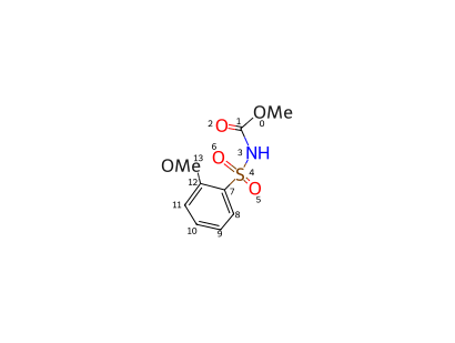 COC(=O)NS(=O)(=O)c1ccccc1OC